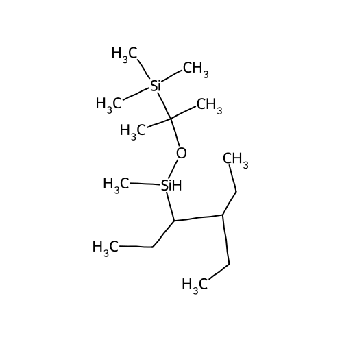 CCC(CC)C(CC)[SiH](C)OC(C)(C)[Si](C)(C)C